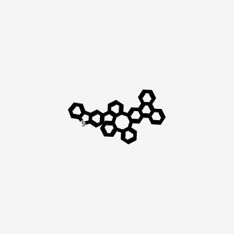 c1ccc2c(c1)-c1cc3c4ccccc4c4ccccc4c3cc1-c1cccc(-c3ccc4sc5ccccc5c4c3)c1-c1ccccc1-2